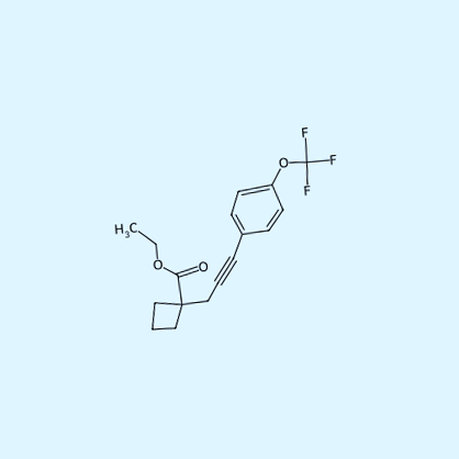 CCOC(=O)C1(CC#Cc2ccc(OC(F)(F)F)cc2)CCC1